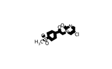 CS(=O)(=O)c1ccc(C(=O)Cn2cc(Cl)cnc2=O)cc1